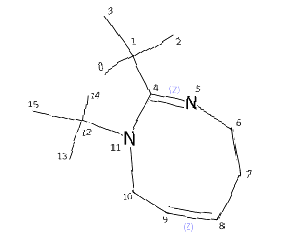 CC(C)(C)/C1=N/CC/C=C\CN1C(C)(C)C